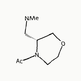 CNC[C@@H]1COCCN1C(C)=O